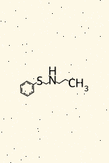 CCCNCSc1ccccc1